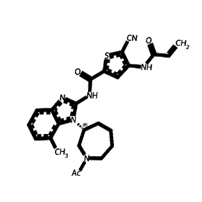 C=CC(=O)Nc1cc(C(=O)Nc2nc3cccc(C)c3n2[C@@H]2CCCCN(C(C)=O)C2)sc1C#N